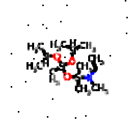 CCN(C)[Si](C)(C)O[Si](C)(O[SiH](C)C)O[SiH](C)C